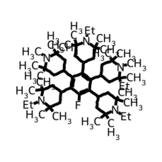 CCN1C(C)(C)CC(c2c(F)c(C3CC(C)(C)N(CC)C(C)(C)C3)c(C3CC(C)(C)N(C)C(C)(CC)C3)c(C3CC(C)(C)N(CC)C(C)(C)C3)c2C2CC(C)(C)N(C)C(C)(C)C2)CC1(C)C